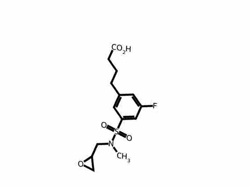 CN(CC1CO1)S(=O)(=O)c1cc(F)cc(CCCC(=O)O)c1